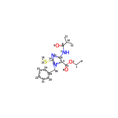 CCOC(=O)c1c(NC(=O)C(C)C)nc(SC)n1Cc1ccccc1